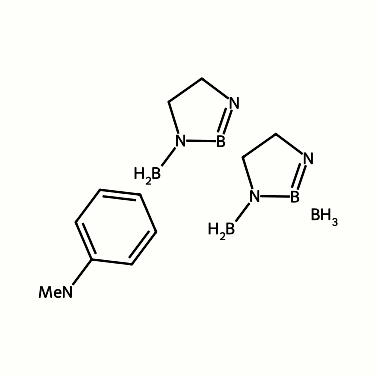 B.BN1B=NCC1.BN1B=NCC1.CNc1ccccc1